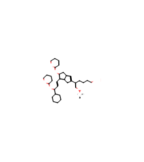 CC(C)(C)[Si](C)(C)OCC(CCCCO)C1=CC2CC(OC3CCCCO3)C(C=CC(OC3CCCCO3)C3CCCCC3)C2C1